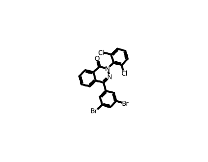 O=c1c2ccccc2c(-c2cc(Br)cc(Br)c2)nn1-c1c(Cl)cccc1Cl